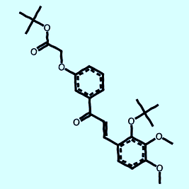 COc1ccc(C=CC(=O)c2cccc(OCC(=O)OC(C)(C)C)c2)c(OC(C)(C)C)c1OC